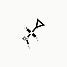 [CH2-][NH2+]S(=O)(=O)C1CC1